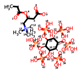 CCC(=O)OC(CC(=O)[O-])C[N+](C)(C)C.O=P(O)(O)O[C@H]1[C@H](OP(=O)(O)O)[C@@H](OP(=O)(O)O)[C@H](OP(=O)(O)O)[C@@H](OP(=O)(O)O)[C@H]1OP(=O)(O)O